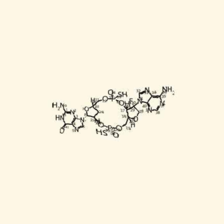 Nc1nc2c(ncn2[C@@H]2O[C@@H]3COP(=O)(S)O[C@H]4[C@@H](COP(=O)(S)O[C@@H]2C3)OC[C@]4(F)n2cnc3c(N)ncnc32)c(=O)[nH]1